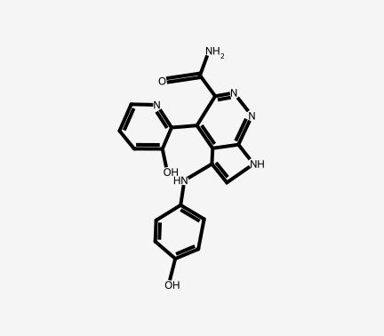 NC(=O)c1nnc2[nH]cc(Nc3ccc(O)cc3)c2c1-c1ncccc1O